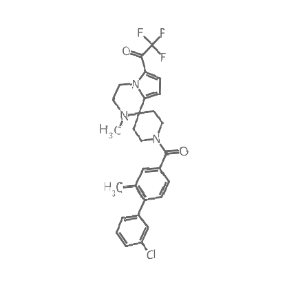 Cc1cc(C(=O)N2CCC3(CC2)c2ccc(C(=O)C(F)(F)F)n2CCN3C)ccc1-c1cccc(Cl)c1